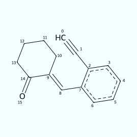 C#Cc1ccccc1C=C1CCCCC1=O